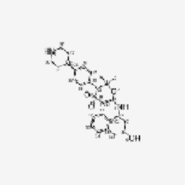 CC1(C)OC(N[C@@H](CCO)c2ccccc2F)=NS(=O)(=O)C1c1ccc(N2CCNCC2)cc1